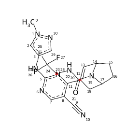 Cn1cc(Nc2ncc(C#N)c(C3=CC4CCC(C3)N4C(=O)NCC(F)(F)F)n2)cn1